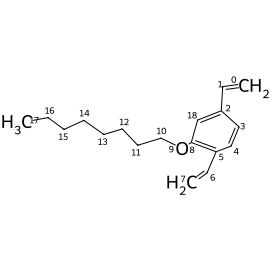 C=Cc1ccc(C=C)c(OCCCCCCCC)c1